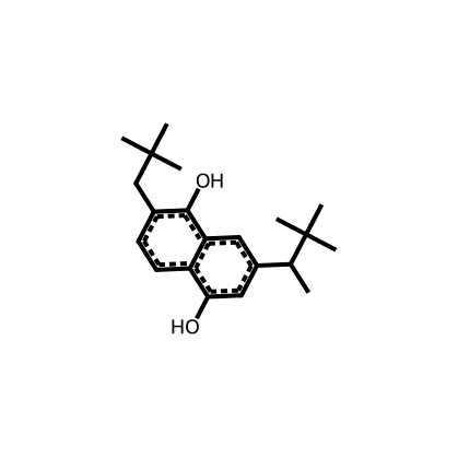 CC(c1cc(O)c2ccc(CC(C)(C)C)c(O)c2c1)C(C)(C)C